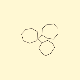 C1CCCC(C2(C3CCCCCCC3)CCCCCCC2)CCC1